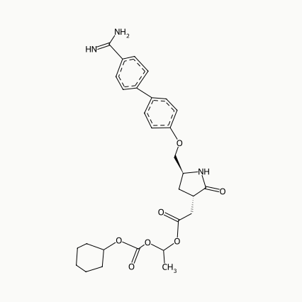 CC(OC(=O)C[C@@H]1C[C@@H](COc2ccc(-c3ccc(C(=N)N)cc3)cc2)NC1=O)OC(=O)OC1CCCCC1